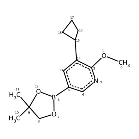 COc1ncc(B2OCC(C)(C)O2)cc1C1CCC1